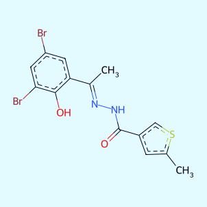 C/C(=N\NC(=O)c1csc(C)c1)c1cc(Br)cc(Br)c1O